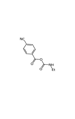 CCNC(=O)OC(=O)c1ccc(C#N)cc1